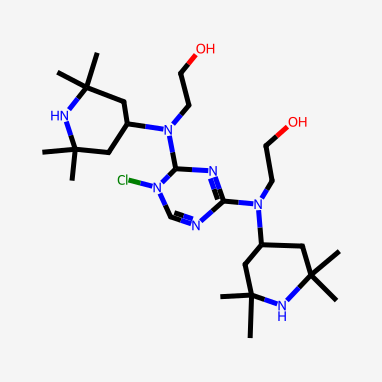 CC1(C)CC(N(CCO)C2=NC(N(CCO)C3CC(C)(C)NC(C)(C)C3)N(Cl)C=N2)CC(C)(C)N1